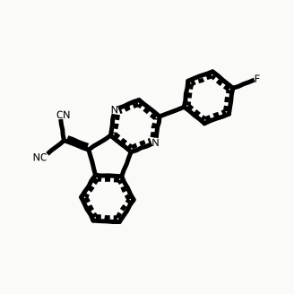 N#CC(C#N)=C1c2ccccc2-c2nc(-c3ccc(F)cc3)cnc21